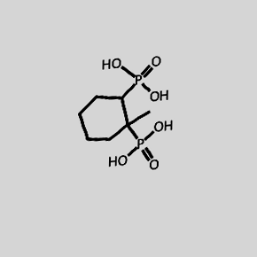 CC1(P(=O)(O)O)CCCCC1P(=O)(O)O